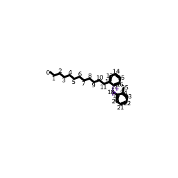 CCCCCCCCCCCCc1ccccc1[I+]c1ccccc1C